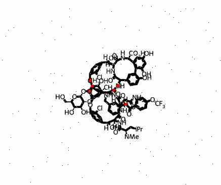 CN[C@H](CC(C)C)C(=O)N[C@H]1C(=O)N[C@@H](CC(N)=O)C(=O)N[C@H]2C(=O)N[C@H]3C(=O)N[C@H](C(=O)N[C@@H](C(=O)O)c4cc(O)cc(O)c4-c4cc3ccc4O)[C@H](O)c3ccc(c(Cl)c3)Oc3cc2cc(c3O[C@@H]2O[C@H](CO)[C@@H](O)[C@H](O)[C@H]2OC2C[C@](C)(NCc3cccc(NC(=O)c4ccc(OC(F)(F)F)cc4)c3)[C@H](O)[C@H](C)O2)Oc2ccc(cc2Cl)[C@H]1O